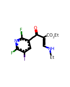 CCNC=C(C(=O)OCC)C(=O)c1cc(I)c(F)nc1F